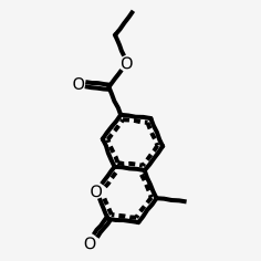 CCOC(=O)c1ccc2c(C)cc(=O)oc2c1